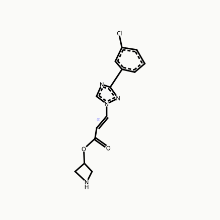 O=C(/C=C/n1cnc(-c2cccc(Cl)c2)n1)OC1CNC1